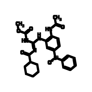 COC(=O)N/C(=N\C(=O)C1CCCCC1)Nc1cc([S+]([O-])c2ccccc2)ccc1NC(C)=O